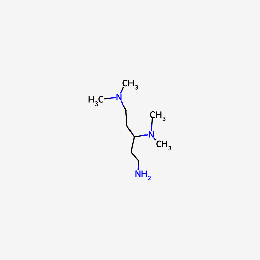 CN(C)CCC(CCN)N(C)C